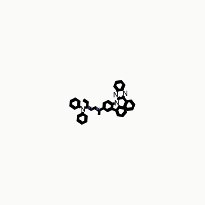 C=C/C(=C\C=C(/C)c1ccc2c(c1)c1ccccc1n2-c1nc2ccccc2nc1-c1ccccc1)N(c1ccccc1)c1ccccc1